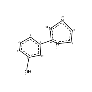 Oc1cccc(-c2nccnn2)c1